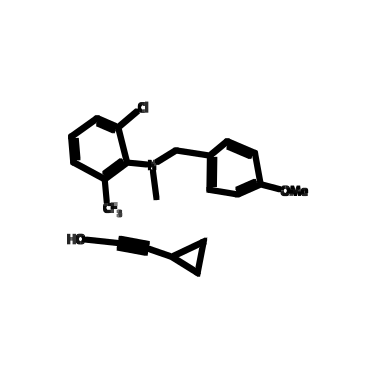 COc1ccc(CN(C)c2c(Cl)cccc2C(F)(F)F)cc1.OC#CC1CC1